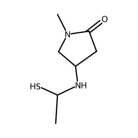 CC(S)NC1CC(=O)N(C)C1